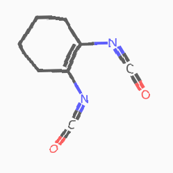 O=C=NC1=C(N=C=O)CCCC1